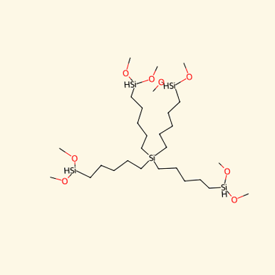 CO[SiH](CCCCC[Si](CCCCC[SiH](OC)OC)(CCCCC[SiH](OC)OC)CCCCC[SiH](OC)OC)OC